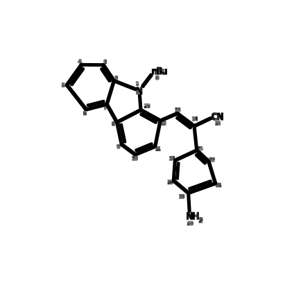 CCCCn1c2ccccc2c2cccc(C=C(C#N)c3ccc(N)cc3)c21